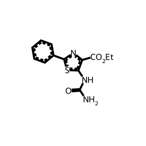 CCOC(=O)c1nc(-c2ccccc2)sc1NC(N)=O